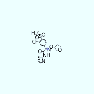 CS(=O)(=O)c1ccc(/C(=N\OC2CCOC2)C(=O)Nc2nccs2)cc1Cl